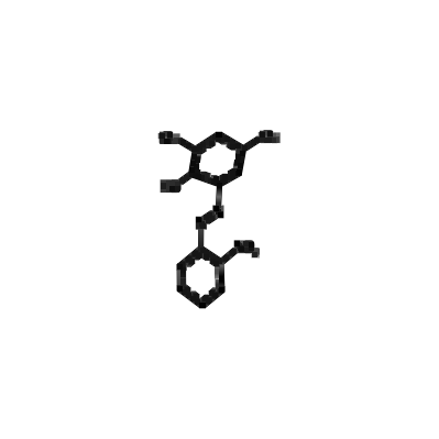 CC(C)(C)c1cc(/N=N/c2ccccc2[N+](=O)[O-])c(O)c(C(C)(C)C)c1